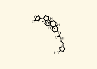 C[C@]12CC[C@H](OC(=O)NCCN3CC[C@@H](O)C3)C[C@H]1CC[C@@H]1[C@@H]2CC[C@]2(C)[C@@H](C3=CC(=O)OC3)[CH]C[C@]12O